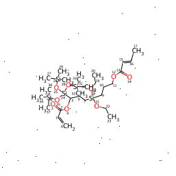 C=CC(=O)OC(CC[Si](CCCOC(=O)C=CC)(OCC)OCC)[Si](O[Si](C)(C)C)(O[Si](C)(C)C)O[Si](C)(C)C